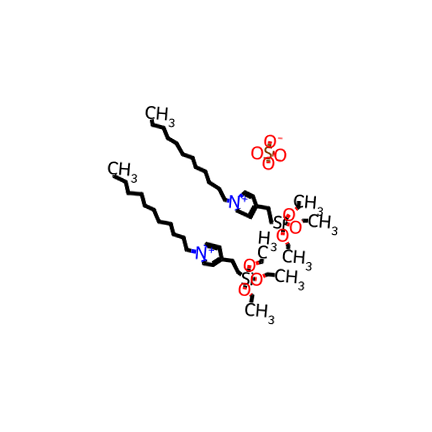 CCCCCCCCCCCC[n+]1ccc(CC[Si](OCC)(OCC)OCC)cc1.CCCCCCCCCCCC[n+]1ccc(CC[Si](OCC)(OCC)OCC)cc1.O=S(=O)([O-])[O-]